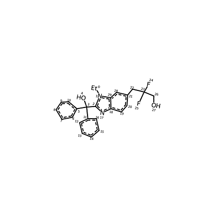 CCn1c(C(O)(c2ccccc2)c2ccccc2)nc2ccc(CC(F)(F)CO)cc21